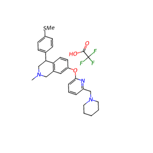 CSc1ccc(C2CN(C)Cc3cc(Oc4cccc(CN5CCCCC5)n4)ccc32)cc1.O=C(O)C(F)(F)F